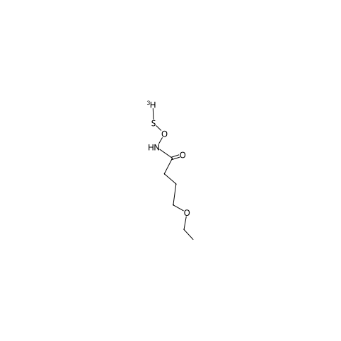 [3H]SONC(=O)CCCOCC